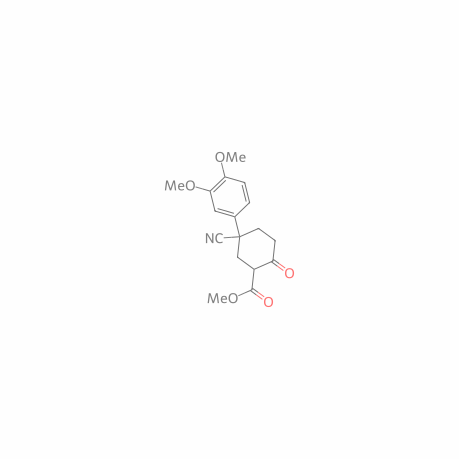 COC(=O)C1CC(C#N)(c2ccc(OC)c(OC)c2)CCC1=O